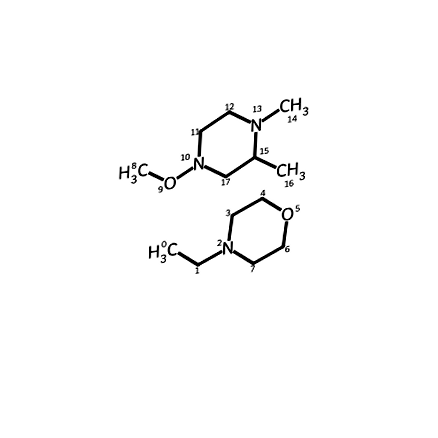 CCN1CCOCC1.CON1CCN(C)C(C)C1